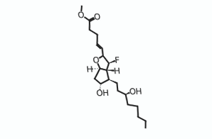 CCCCC[C@H](O)CC[C@@H]1[C@H]2[C@H](F)C(/C=C/CCC(=O)OC)O[C@@H]2C[C@H]1O